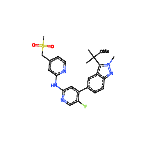 COC(C)(C)c1c2cc(-c3cc(Nc4cc(CS(C)(=O)=O)ccn4)ncc3F)ccc2nn1C